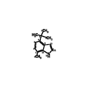 Cc1ccc(C(C)(C)C)c2cn[nH]c12